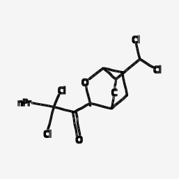 [CH2]CCC(Cl)(Cl)C(=O)[C]1OC2CCC1CC2C(Cl)Cl